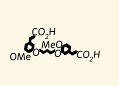 COc1ccc(/C=C/C(=O)O)cc1OCCCCCOc1cc(/C=C/C(=O)O)ccc1OC